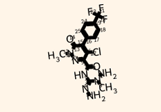 CN(N)/C(=N\N)NC(=O)c1nn(C)c(=O)c(-c2ccc(C(F)(F)F)cc2)c1Cl